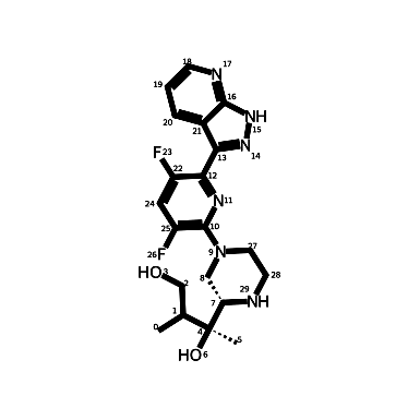 CC(CO)[C@](C)(O)[C@@H]1CN(c2nc(-c3n[nH]c4ncccc34)c(F)cc2F)CCN1